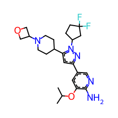 CC(C)Oc1cc(-c2cc(C3CCN(C4COC4)CC3)n(C3CCC(F)(F)C3)n2)cnc1N